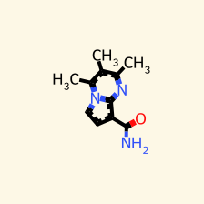 Cc1nc2c(C(N)=O)ccn2c(C)c1C